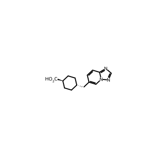 O=C(O)[C@H]1CC[C@H](Cc2ccc3ncnn3c2)CC1